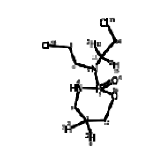 [2H]C1([2H])CNP(=O)(N(CCCl)C([2H])([2H])CCl)OC1